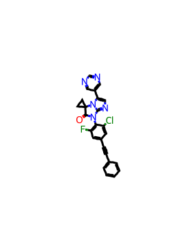 O=C1N(c2c(F)cc(C#Cc3ccccc3)cc2Cl)c2ncc(-c3cncnc3)n2C12CC2